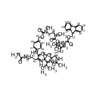 CC(=O)N[C@@H](CCCCNC(=O)OCC1c2ccccc2-c2ccccc21)C(=O)N[C@H](C(=O)N[C@@H](CCCNC(N)=O)C(=O)Nc1ccc(COC(=O)N(C)CCN(C)C(=O)OC(C)(C)C)cc1)C(C)C